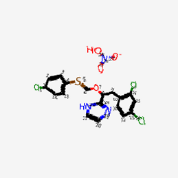 Clc1ccc(SCOC(Cc2ccc(Cl)cc2Cl)c2ncc[nH]2)cc1.O=[N+]([O-])O